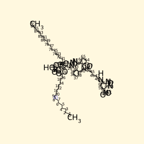 CCCCCCCC/C=C\CCCCCCCC(=O)OC(COP(=O)(O)O)C(Cn1nnc2c1-c1ccccc1CN(C(=O)CCCCCNc1ccc([N+](=O)[O-])c3nonc13)c1ccccc1-2)OC(=O)CCCCCCCCCCCCCCCCC